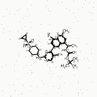 Cc1cc(C(C)NC(=O)OC(C)(C)C)c2cc(-c3nc(NC4CCN(S(=O)(=O)C5CC5)CC4)ncc3F)cc(F)c2n1